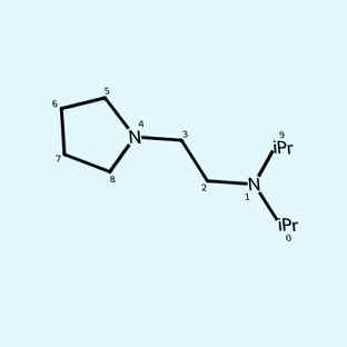 CC(C)N(CCN1CCCC1)C(C)C